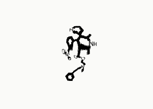 CC1=C(C(=O)OCCN(C)Cc2ccccc2)C(c2cccc([N+](=O)[O-])c2)C(c2cccnc2)=C(C)N1